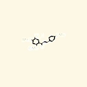 COc1ccc(/C=C/C(=O)c2cc(C(=O)O)c(OC)cc2OC)cc1